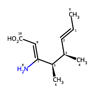 CC=C[C@@H](C)[C@@H](C)C(N)=CC(=O)O